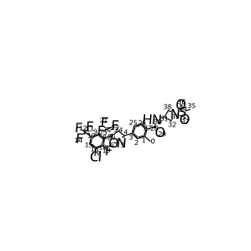 Cc1cc(C2=NO[C@](c3cc(C(F)(F)F)cc(Cl)c3F)(C(F)(F)F)C2)ccc1C(=O)NC1CN(S(C)(=O)=O)C1